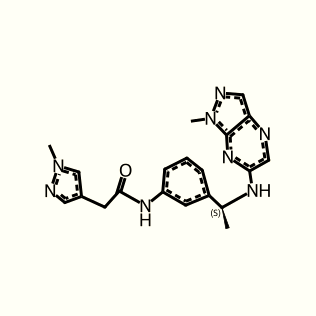 C[C@H](Nc1cnc2cnn(C)c2n1)c1cccc(NC(=O)Cc2cnn(C)c2)c1